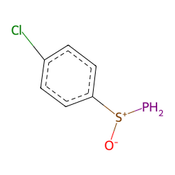 [O-][S+](P)c1ccc(Cl)cc1